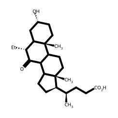 CC[C@H]1C(=O)C2C(CC[C@@]3(C)C2CC[C@@H]3[C@H](C)CCC(=O)O)[C@@]2(C)CC[C@@H](O)CC12